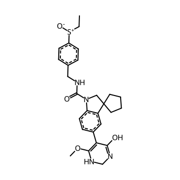 CC[S+]([O-])c1ccc(CNC(=O)N2CC3(CCCC3)c3cc(C4=C(OC)NCN=C4O)ccc32)cc1